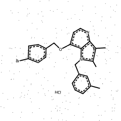 Cc1cccc(Cn2c(C)c(C)c3nccc(OCc4ccc(Br)cc4)c32)c1.Cl